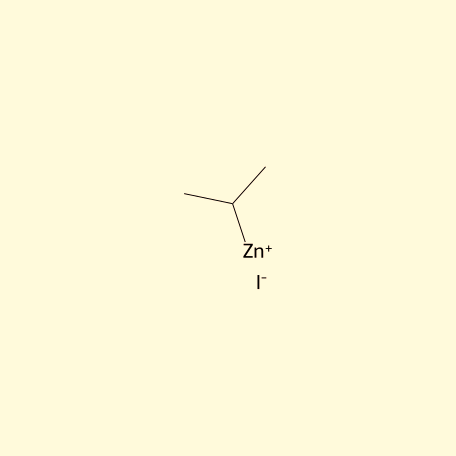 C[CH](C)[Zn+].[I-]